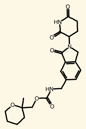 CC1(COC(=O)NCc2ccc3c(c2)C(=O)N(C2CCC(=O)NC2=O)C3)CCCCO1